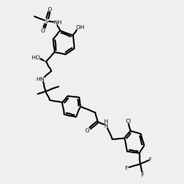 CC(C)(Cc1ccc(CC(=O)NCc2cc(C(F)(F)F)ccc2Cl)cc1)NC[C@@H](O)c1ccc(O)c(NS(C)(=O)=O)c1